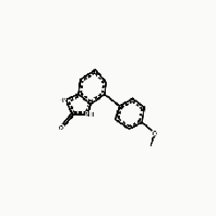 COc1ccc(-c2cccc3[nH]c(=O)[nH]c23)cc1